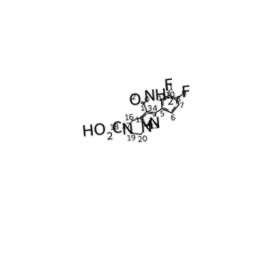 NC(=O)c1c(-c2ccc(F)c(F)c2)nn2c1CN(C(=O)O)CC2